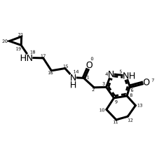 O=C(Cc1n[nH]c(=O)c2c1CCCC2)NCCCNC1CC1